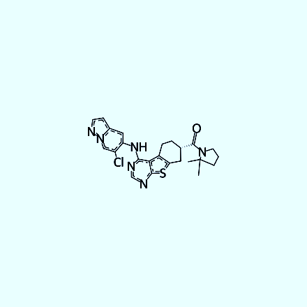 CC1(C)CCCN1C(=O)[C@H]1CCc2c(sc3ncnc(Nc4cc5ccnn5cc4Cl)c23)C1